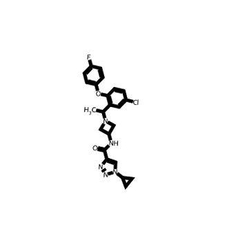 CC(c1cc(Cl)ccc1Oc1ccc(F)cc1)N1CC(NC(=O)c2cn(C3CC3)nn2)C1